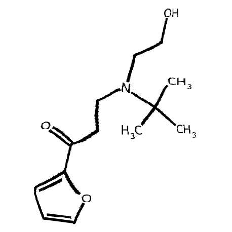 CC(C)(C)N(CCO)CCC(=O)c1ccco1